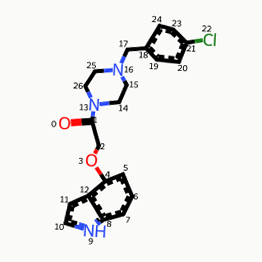 O=C(COc1cccc2[nH]ccc12)N1CCN(Cc2ccc(Cl)cc2)CC1